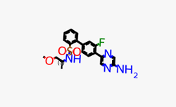 COC[C@H](C)NS(=O)(=O)c1ccccc1-c1ccc(-c2cnc(N)cn2)c(F)c1